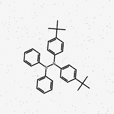 CC(C)(C)c1ccc(N(c2ccc(C(C)(C)C)cc2)N(c2ccccc2)c2ccccc2)cc1